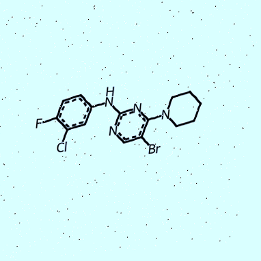 Fc1ccc(Nc2ncc(Br)c(N3CCCCC3)n2)cc1Cl